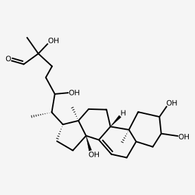 C[C@H](C(O)CCC(C)(O)C=O)[C@H]1CC[C@@]2(O)C3=CCC4CC(O)C(O)C[C@]4(C)[C@H]3CC[C@]12C